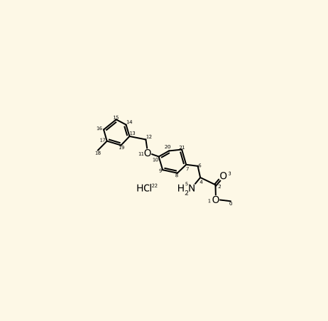 COC(=O)C(N)Cc1ccc(OCc2cccc(C)c2)cc1.Cl